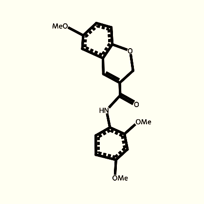 COc1ccc2c(c1)C=C(C(=O)Nc1ccc(OC)cc1OC)CO2